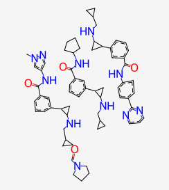 Cn1cc(NC(=O)c2cccc(C3CC3NCC3CC3)c2)cn1.O=C(NC1CCCC1)c1cccc(C2CC2NCC2CC2)c1.O=C(Nc1ccc(-c2ncccn2)cc1)c1cccc(C2CC2NCC2CC2)c1.O=CN1CCCC1